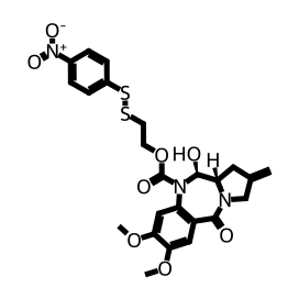 C=C1C[C@H]2[C@H](O)N(C(=O)OCCSSc3ccc([N+](=O)[O-])cc3)c3cc(OC)c(OC)cc3C(=O)N2C1